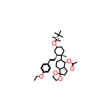 CCOc1ccc(/C=C/[C@H]2C[C@@H](O[Si](C)(C)C(C)(C)C)CC[C@]2(C)C2CC[C@@]3(C)C(CCC34OCCO4)[C@@H]2OC(C)=O)cc1